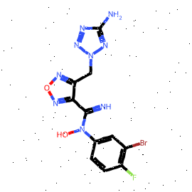 N=C(c1nonc1Cn1nnc(N)n1)N(O)c1ccc(F)c(Br)c1